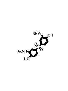 CC(=O)Nc1cc(S(=O)(=O)c2ccc(O)c(NC(C)=O)c2)ccc1O